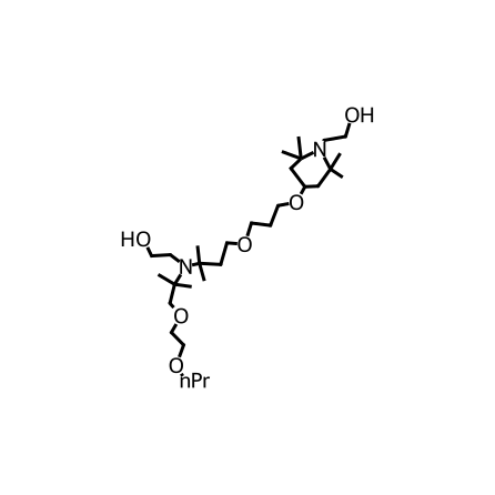 CCCOCCOCC(C)(C)N(CCO)C(C)(C)CCOCCCOC1CC(C)(C)N(CCO)C(C)(C)C1